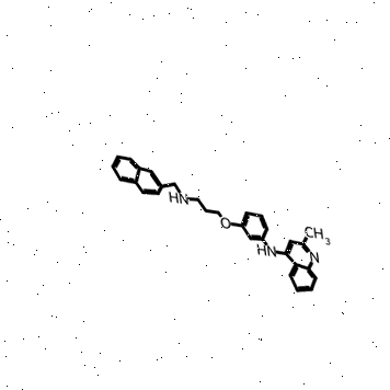 Cc1cc(Nc2cccc(OCCCNCc3ccc4ccccc4c3)c2)c2ccccc2n1